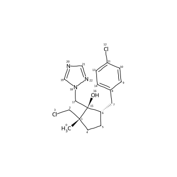 C[C@]1(CCl)CC[C@@H](Cc2ccc(Cl)cc2)[C@@]1(O)Cn1cncn1